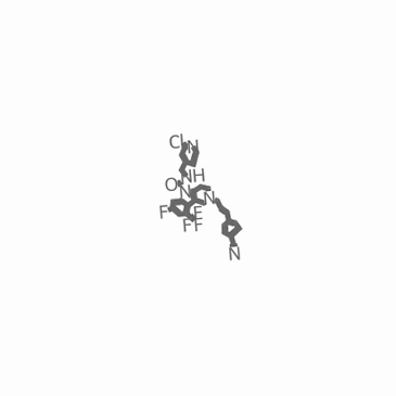 N#Cc1ccc(C=CCN2CCc3c(c4c(C(F)(F)F)cc(F)cc4n3C(=O)NCc3ccnc(Cl)c3)C2)cc1